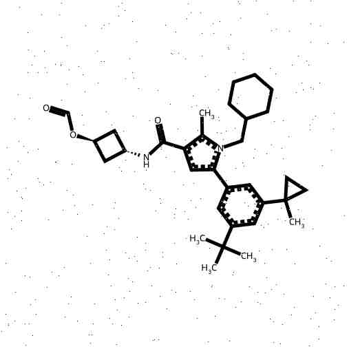 Cc1c(C(=O)N[C@H]2C[C@H](OC=O)C2)cc(-c2cc(C(C)(C)C)cc(C3(C)CC3)c2)n1CC1CCCCC1